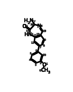 COc1cccc(-c2ccc3c(c2)NC(=O)C(N)N=C3)c1